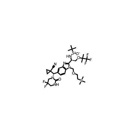 CC(C)(C)[S@@+]([O-])N[C@@H](COC(C)(C)C(F)(F)F)c1nc2cc([C@H](N3CC(F)(F)CNC3=O)C3(C#N)CC3)ccc2n1COCC[Si](C)(C)C